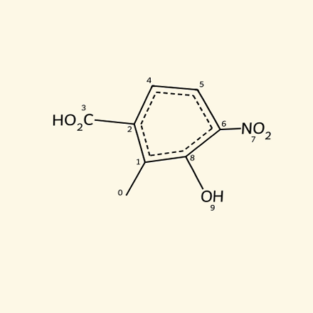 Cc1c(C(=O)O)ccc([N+](=O)[O-])c1O